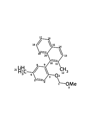 COCOc1[c]cc(C)cc1-c1c(C)ccc2ccccc12.[LiH]